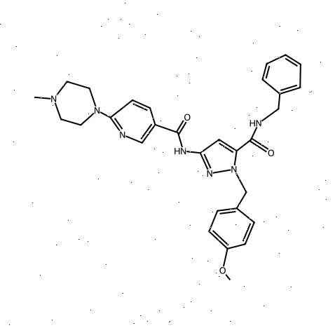 COc1ccc(Cn2nc(NC(=O)c3ccc(N4CCN(C)CC4)nc3)cc2C(=O)NCc2ccccc2)cc1